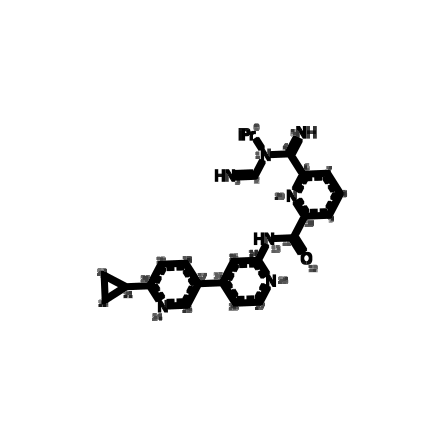 CC(C)N(C=N)C(=N)c1cccc(C(=O)Nc2cc(-c3ccc(C4CC4)nc3)ccn2)n1